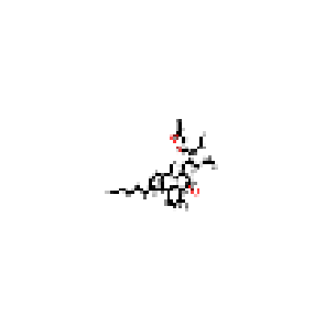 CCCCCc1ccc(CC)c(-c2ccc(C)c3c2CC(CC(CCC)C(CC)C(=O)CC(C)=O)CC3=O)c1